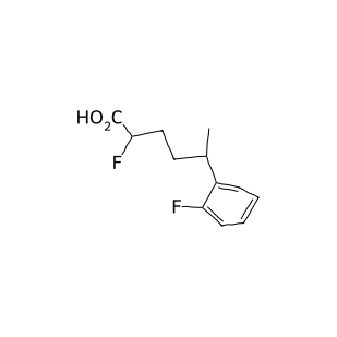 CC(CCC(F)C(=O)O)c1ccccc1F